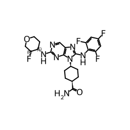 NC(=O)[C@H]1CC[C@@H](n2c(Nc3c(F)cc(F)cc3F)nc3cnc(N[C@H]4CCOC[C@@H]4F)nc32)CC1